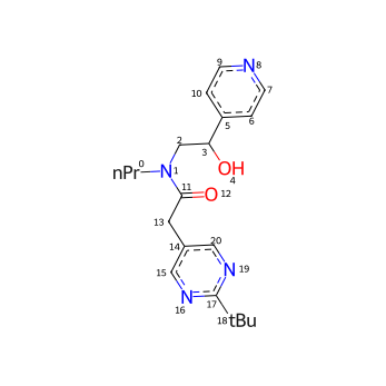 CCCN(CC(O)c1ccncc1)C(=O)Cc1cnc(C(C)(C)C)nc1